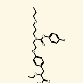 CCCSCCCN(CCOc1ccc(CC(OCC)C(=O)O)cc1)C(=O)Oc1ccc(F)cc1